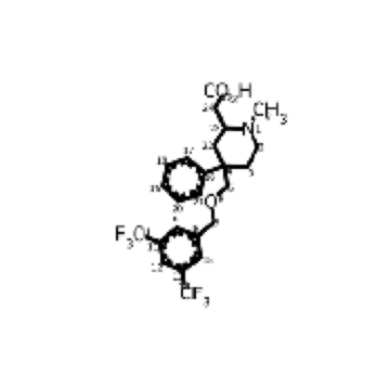 CN1CCC(COCc2cc(C(F)(F)F)cc(C(F)(F)F)c2)(c2ccccc2)CC1CC(=O)O